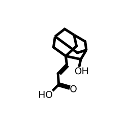 O=C(O)C=CC12CC3CC(CC(C3)C1O)C2